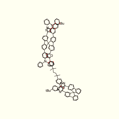 CC(C)(C)c1ccc(-c2nnc(-c3ccc4c(c3)C3(c5ccccc5-4)c4ccccc4-c4ccc(-c5nnc(-c6ccc(C(C)(C)CCC(C)(C)c7ccc(-c8nnc(-c9ccc%10c(c9)C9(c%11cc(-c%12ccc(N(c%13ccccc%13)c%13ccccc%13)cc%12)ccc%11-c%11ccc(-c%12nnc(-c%13ccc(C(C)(C)C)cc%13)o%12)cc%119)c9cc(-c%11ccc(N(c%12ccccc%12)c%12ccccc%12)cc%11)ccc9-%10)o8)cc7)cc6)o5)cc43)o2)cc1